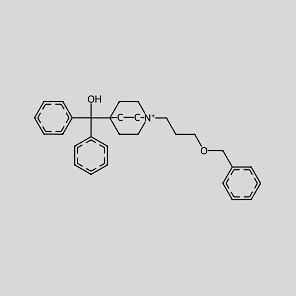 OC(c1ccccc1)(c1ccccc1)C12CC[N+](CCCOCc3ccccc3)(CC1)CC2